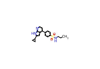 CCCNS(=O)(=O)c1ccc(-c2ccnc3[nH]c(C4CC4)cc23)cc1